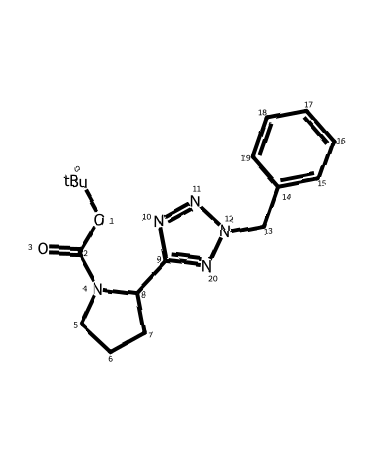 CC(C)(C)OC(=O)N1CCCC1c1nnn(Cc2ccccc2)n1